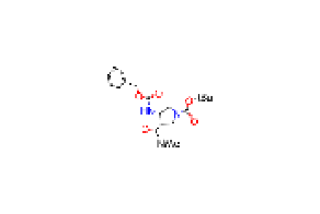 CNC(=O)C1CN(C(=O)OC(C)(C)C)CC1NC(=O)OCc1ccccc1